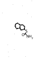 NC(=O)Sc1ccc2ccccc2c1